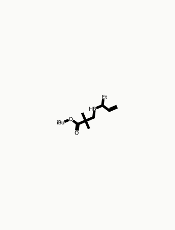 C=CC(BCC(C)(C)C(=O)OC(C)CC)CC